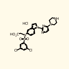 Cl.O=C(O)CN(c1ccc2c(ccn2-c2nccc(N3CCNCC3)n2)c1)S(=O)(=O)c1cc(Cl)cc(Cl)c1